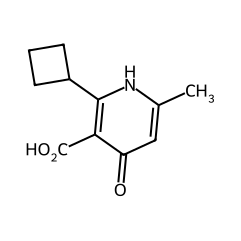 Cc1cc(=O)c(C(=O)O)c(C2CCC2)[nH]1